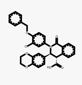 O=C(O)[C@H]1c2ccccc2C(=O)N(c2ccc(OCc3ccccc3)c(Cl)c2)[C@@H]1c1ccc2c(c1)OCCO2